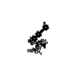 C[C@@H](CO)NC[C@H](C)[C@H](CN(C)CC1CC1)Oc1cc(-c2ccc(C#Cc3cccc(F)c3)cc2)ccc1[SH](=O)=O